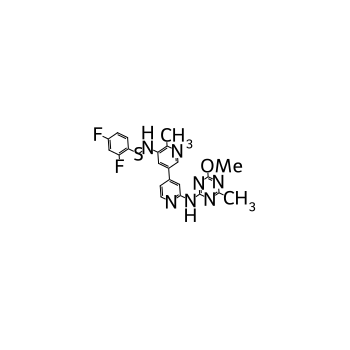 COc1nc(C)nc(Nc2cc(-c3cnc(C)c(NSc4ccc(F)cc4F)c3)ccn2)n1